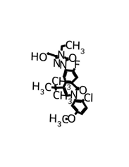 CCn1c(CO)nn(-c2cc3c(C(C)(C)C)cn(-c4cc(OC)ccc4Cl)c(=O)c3cc2F)c1=O